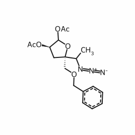 CC(=O)OC1O[C@@](COCc2ccccc2)(C(C)N=[N+]=[N-])C[C@H]1OC(C)=O